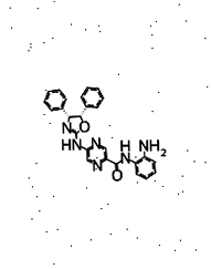 Nc1ccccc1NC(=O)c1cnc(NC2=N[C@H](c3ccccc3)[C@H](c3ccccc3)O2)cn1